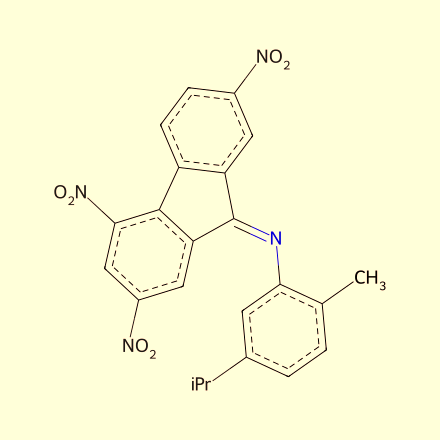 Cc1ccc(C(C)C)cc1N=C1c2cc([N+](=O)[O-])ccc2-c2c1cc([N+](=O)[O-])cc2[N+](=O)[O-]